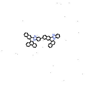 c1ccc2cc3c(cc2c1)c1c2ccccc2c2ccccc2c1n1c2ccc(-c4ccc5cc6c(cc5c4)c4c5ccccc5ccc4n4c5ccccc5nc64)cc2nc31